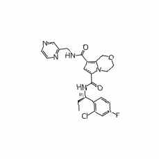 CC[C@@H](NC(=O)c1cc(C(=O)NCc2cnccn2)c2n1CCOC2)c1ccc(F)cc1Cl